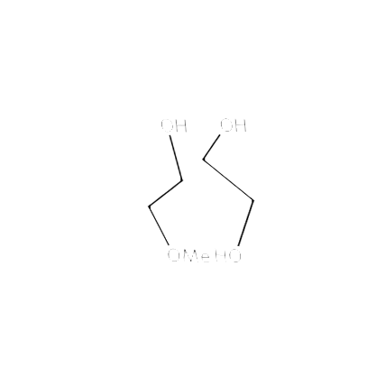 OCCO.[CH2]OCCO